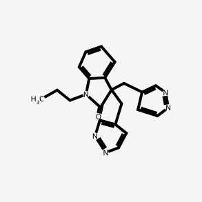 CCCN1C(=O)C(Cc2ccnnc2)(Cc2ccnnc2)c2ccccc21